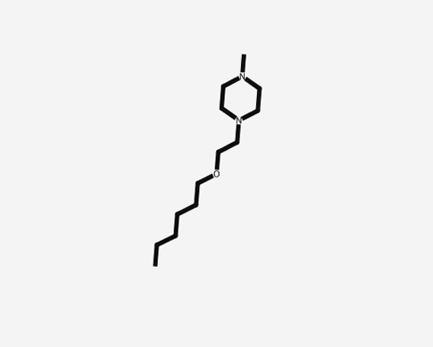 CCCCCCOCCN1CCN(C)CC1